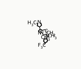 C=C=Cc1c(-c2ccnc(C)c2)cnn1C(C)CN(C)c1ccc(C(F)(F)F)cc1